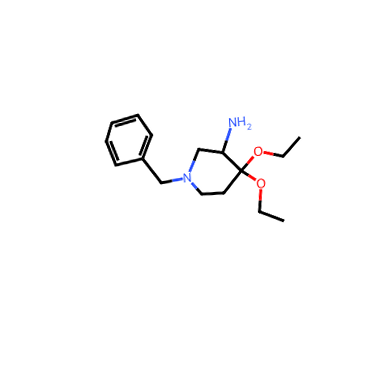 CCOC1(OCC)CCN(Cc2ccccc2)CC1N